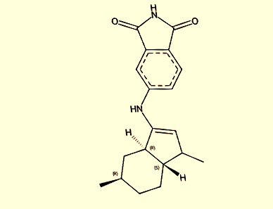 CC1C=C(Nc2ccc3c(c2)C(=O)NC3=O)[C@@H]2C[C@H](C)CC[C@@H]12